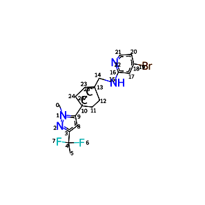 Cn1nc(C(C)(F)F)cc1C12CCC(CNc3cc(Br)ccn3)(CC1)CC2